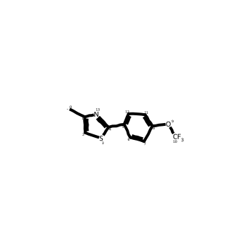 [CH2]c1csc(-c2ccc(OC(F)(F)F)cc2)n1